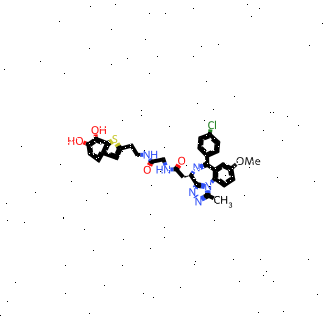 COc1ccc2c(c1)C(c1ccc(Cl)cc1)=N[C@@H](CC(=O)NCC(=O)NCCc1cc3ccc(O)c(O)c3s1)c1nnc(C)n1-2